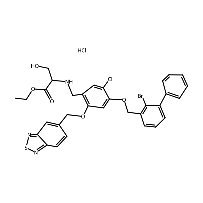 CCOC(=O)C(CO)NCc1cc(Cl)c(OCc2cccc(-c3ccccc3)c2Br)cc1OCc1ccc2nsnc2c1.Cl